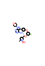 Cc1ccc(COc2cc(F)cc(Oc3ccc(-c4nn(C5CCOCC5)c5ncnc(N)c45)cc3)c2)c[n+]1O